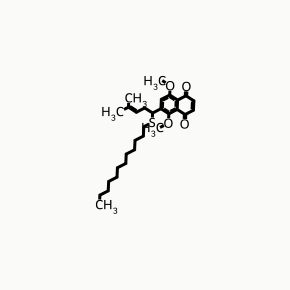 CCCCCCCCCCCCSC(CC=C(C)C)c1cc(OC)c2c(c1OC)C(=O)C=CC2=O